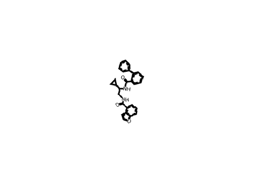 O=C(NC(CNC(=O)c1cccc2occc12)C1CC1)c1ccccc1-c1ccccc1